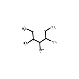 CCCC(C(N)CN)C(N)CN